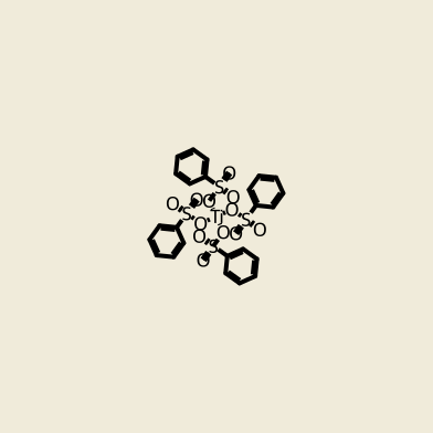 O=S(=O)([O][Ti]([O]S(=O)(=O)c1ccccc1)([O]S(=O)(=O)c1ccccc1)[O]S(=O)(=O)c1ccccc1)c1ccccc1